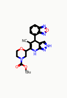 CC(C)(C)OC(=O)N1CCOC(C2=C(C#N)C(c3cccc4nonc34)c3c[nH]nc3N2)C1